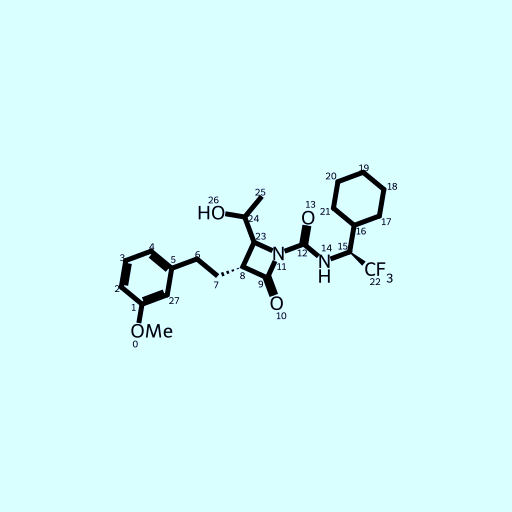 COc1cccc(CC[C@H]2C(=O)N(C(=O)N[C@@H](C3CCCCC3)C(F)(F)F)C2C(C)O)c1